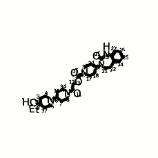 CCC1(O)CCN(C2CCN(C(=O)COC(=O)N3CCC(N4CCc5ccccc5NC4=O)CC3)CC2)CC1